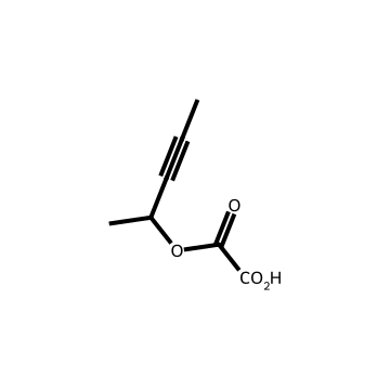 CC#CC(C)OC(=O)C(=O)O